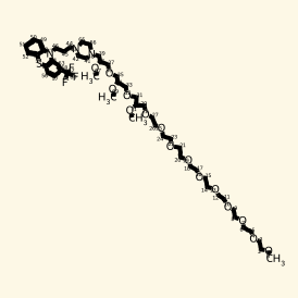 COCCOCCOCCOCCOCCOCCOCCOCCOCCOCC(COCC(COCC(CN1CCN(CCCN2c3ccccc3Sc3ccc(C(F)(F)F)cc32)CC1)OC)OC)OC